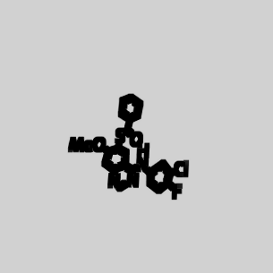 COc1cc2ncnc(Nc3ccc(F)c(Cl)c3)c2cc1SC(=O)c1ccccc1